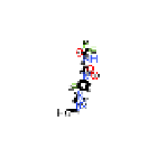 C#CCN1CCN(c2ccc(N3C[C@H](CNC(=O)C(F)F)OC3=O)cc2F)C=N1